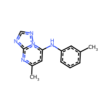 Cc1cccc(Nc2cc(C)nc3ncnn23)c1